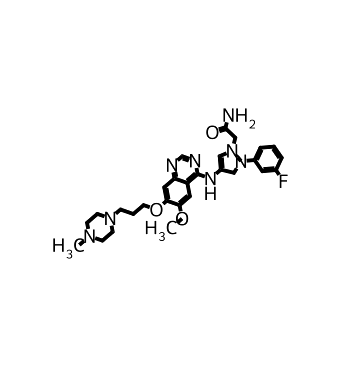 COc1cc2c(NC3=CN(CC(N)=O)N(c4cccc(F)c4)C3)ncnc2cc1OCCCN1CCN(C)CC1